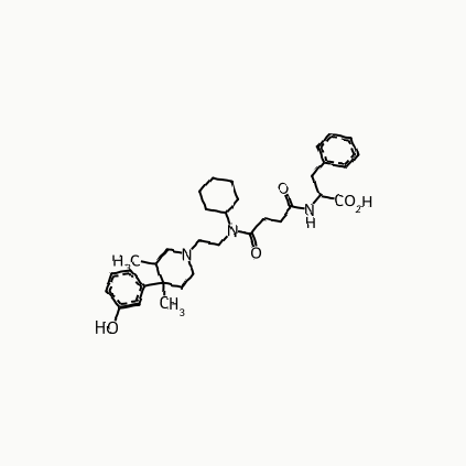 CC1CN(CCN(C(=O)CCC(=O)NC(Cc2ccccc2)C(=O)O)C2CCCCC2)CCC1(C)c1cccc(O)c1